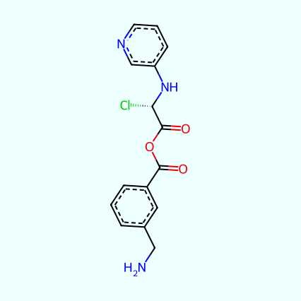 NCc1cccc(C(=O)OC(=O)[C@H](Cl)Nc2cccnc2)c1